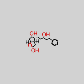 OC1C[C@@H]2[C@@H](CC[C@H](O)CCc3ccccc3)[C@H](O)C[C@@H]2O1